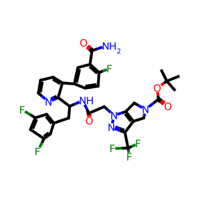 CC(C)(C)OC(=O)N1Cc2c(C(F)(F)F)nn(CC(=O)NC(Cc3cc(F)cc(F)c3)c3ncccc3-c3ccc(F)c(C(N)=O)c3)c2C1